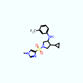 Cn1cnc(S(=O)(=O)N2CC(Nc3cccc(C(F)(F)F)c3)C(C3CC3)C2)c1